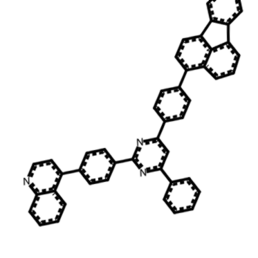 c1ccc(-c2cc(-c3ccc(-c4ccc5c6c(cccc46)-c4ccccc4-5)cc3)nc(-c3ccc(-c4ccnc5ccccc45)cc3)n2)cc1